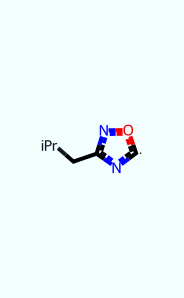 CC(C)Cc1n[c]on1